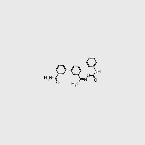 CC(=NOC(=O)Nc1ccccc1)c1cccc(-c2cccc(C(N)=O)c2)c1